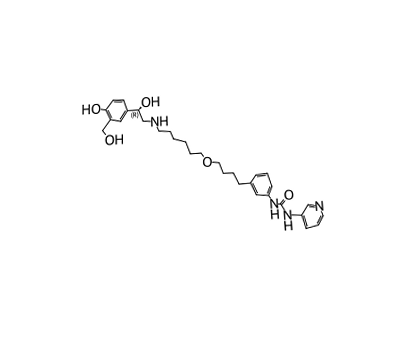 O=C(Nc1cccnc1)Nc1cccc(CCCCOCCCCCCNC[C@H](O)c2ccc(O)c(CO)c2)c1